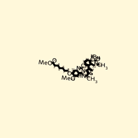 COC(=O)CCCCCCOc1cc2nc(C)nc(NC(C)c3cc(-c4ccccc4CN(C)C(=O)OC(C)(C)C)cs3)c2cc1OC